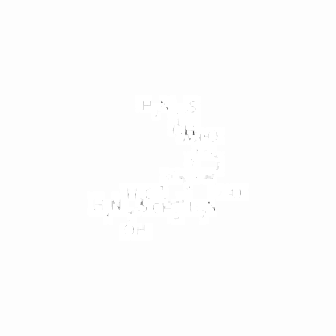 CC.COc1ccc(C(N)=O)cc1.NC(O)=S.NC(O)=S.c1ccccc1